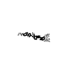 COc1ccc(-c2cc3cnc(-c4ccc(N5CCN(C(C)C)CC5)nc4)cc3n2C)cc1OC